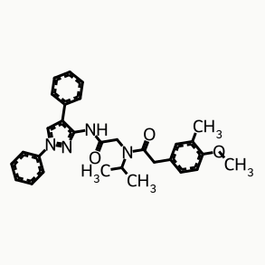 COc1ccc(CC(=O)N(CC(=O)Nc2nn(-c3ccccc3)cc2-c2ccccc2)C(C)C)cc1C